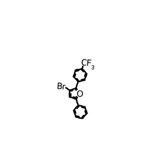 FC(F)(F)c1ccc(-c2oc(-c3ccccc3)cc2Br)cc1